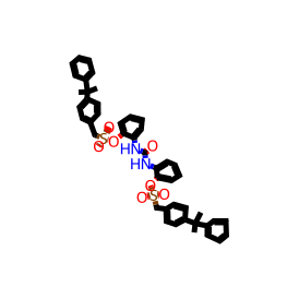 CC(C)(c1ccccc1)c1ccc(CS(=O)(=O)Oc2ccccc2NC(=O)Nc2ccccc2OS(=O)(=O)Cc2ccc(C(C)(C)c3ccccc3)cc2)cc1